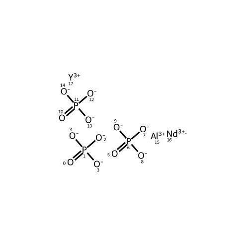 O=P([O-])([O-])[O-].O=P([O-])([O-])[O-].O=P([O-])([O-])[O-].[Al+3].[Nd+3].[Y+3]